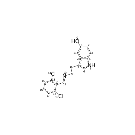 Oc1ccc2[nH]cc(CCN=Cc3c(Cl)cccc3Cl)c2c1